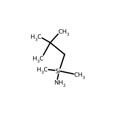 CC(C)(C)C[Si](C)(C)N